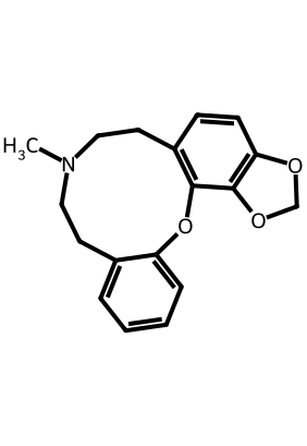 CN1CCc2ccccc2Oc2c(ccc3c2OCO3)CC1